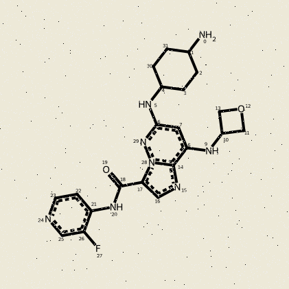 NC1CCC(Nc2cc(NC3COC3)c3ncc(C(=O)Nc4ccncc4F)n3n2)CC1